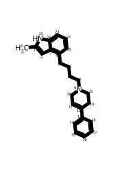 Cc1cc2c(CCCCN3CC=C(c4ccccc4)CC3)cccc2[nH]1